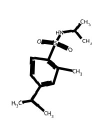 Cc1cc(C(C)C)ccc1S(=O)(=O)NC(C)C